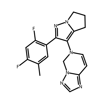 Cc1cc(-c2nn3c(c2N2C=Cc4ncnn4C2)CCC3)c(F)cc1F